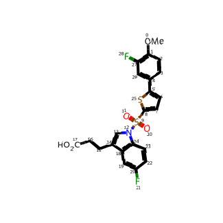 COc1ccc(-c2ccc(S(=O)(=O)n3cc(CCC(=O)O)c4cc(F)ccc43)s2)cc1F